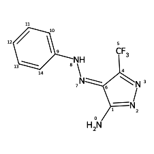 NC1=NN=C(C(F)(F)F)C1=NNc1ccccc1